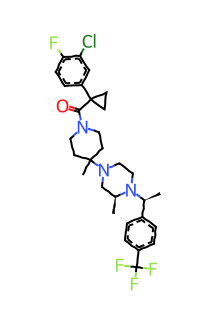 C[C@H]1CN(C2(C)CCN(C(=O)C3(c4ccc(F)c(Cl)c4)CC3)CC2)CCN1[C@@H](C)c1ccc(C(F)(F)F)cc1